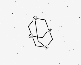 C1[Si]2C[Si]3C[Si]1C[Si](C2)C3